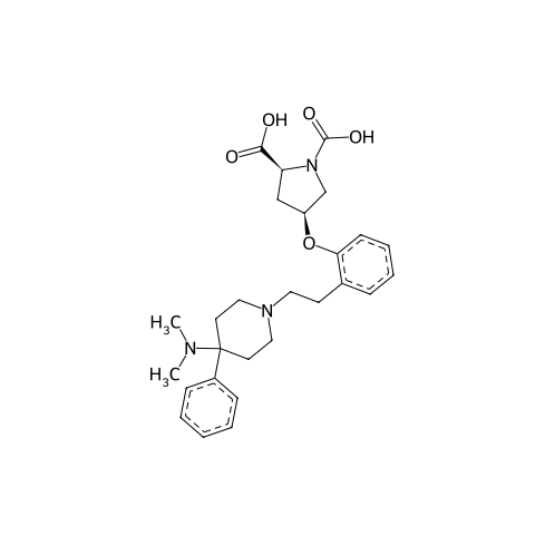 CN(C)C1(c2ccccc2)CCN(CCc2ccccc2O[C@H]2C[C@@H](C(=O)O)N(C(=O)O)C2)CC1